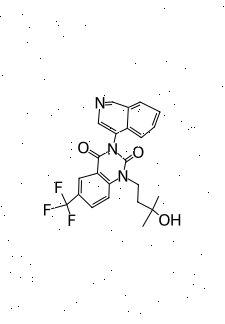 CC(C)(O)CCn1c(=O)n(-c2cncc3ccccc23)c(=O)c2cc(C(F)(F)F)ccc21